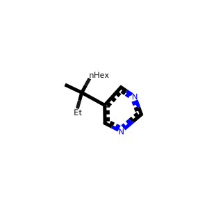 CCCCCCC(C)(CC)c1cncnc1